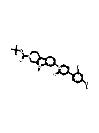 COc1ccc(-c2ccn(-c3ccc4c5c(n(C)c4c3)CN(C(=O)OC(C)(C)C)CC5)c(=O)c2)c(F)c1